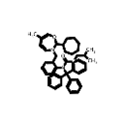 CC1=COC(C2CCCCCC2)N(Cc2ccccc2N(C(=O)OCC(C)C)C(c2ccccc2)(c2ccccc2)c2ccccc2)C=C1